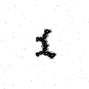 O=C1N(c2ccc(N(c3ccc(-c4ccccc4)cc3)c3ccc(-c4ccccc4)cc3)cc2)CCN1c1ccc(N(c2ccc(-c3ccccc3)cc2)c2ccc(-c3ccccc3)cc2)cc1